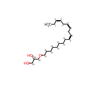 CC/C=C\C/C=C\C/C=C\CCCCCCCCOCC(O)CO